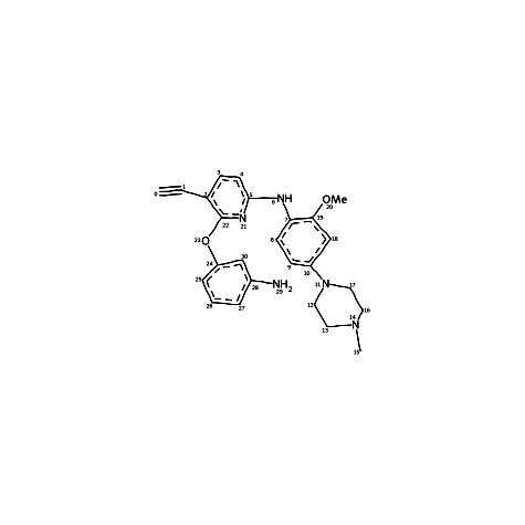 C#Cc1ccc(Nc2ccc(N3CCN(C)CC3)cc2OC)nc1Oc1cccc(N)c1